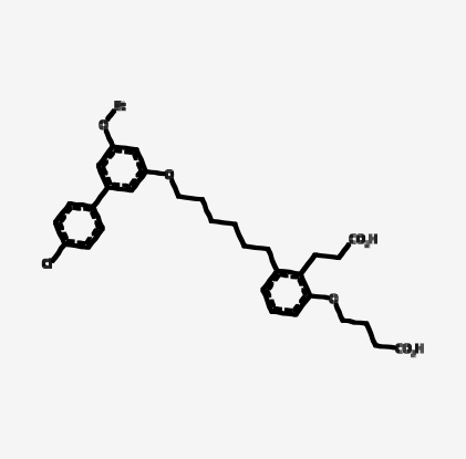 CCOc1cc(OCCCCCCc2cccc(OCCCC(=O)O)c2CCC(=O)O)cc(-c2ccc(Cl)cc2)c1